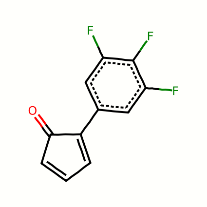 O=C1C=CC=C1c1cc(F)c(F)c(F)c1